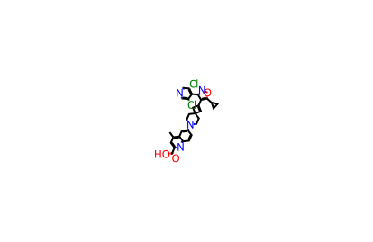 Cc1cc(C(=O)O)nc2ccc(N3CCC4(C=C(c5c(-c6c(Cl)cncc6Cl)noc5C5CC5)C4)CC3)cc12